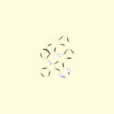 c1ccc(-n2c3ccccc3c3c4nccnc4c4c5ccccc5n(-c5cccc6oc7ccccc7c56)c4c32)cc1